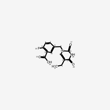 CCc1cn(Cc2ccc(F)c(C(=O)O)c2)c(=O)[nH]c1=O